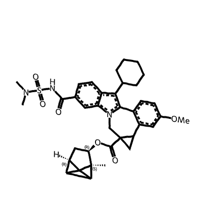 COc1ccc2c(c1)C1CC1(C(=O)O[C@@H]1C[C@@H]3C4C5C43[C@]51C)Cn1c-2c(C2CCCCC2)c2ccc(C(=O)NS(=O)(=O)N(C)C)cc21